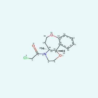 O=C(CCl)N1CCO[C@H]2c3ccccc3OCC[C@@H]21